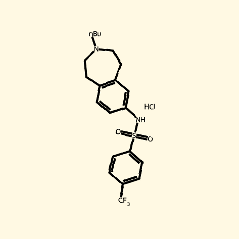 CCCCN1CCc2ccc(NS(=O)(=O)c3ccc(C(F)(F)F)cc3)cc2CC1.Cl